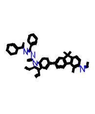 C=Cc1c2c(n(C(=C)/N=C(\N=C(/C)C3=CCCCC3)c3ccccc3)c1CC)CCC(c1ccc3c(c1)C(C)(C)c1ccc(/N=C\C)c(C)c1-3)=C2